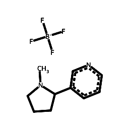 CN1CCCC1c1cccnc1.F[B-](F)(F)F